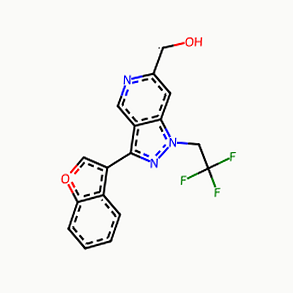 O[CH]c1cc2c(cn1)c(-c1coc3ccccc13)nn2CC(F)(F)F